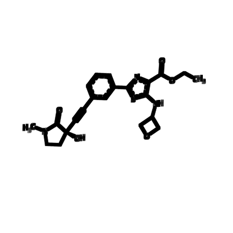 CCOC(=O)c1nc(-c2cccc(C#C[C@]3(O)CCN(C)C3=O)c2)sc1NC1COC1